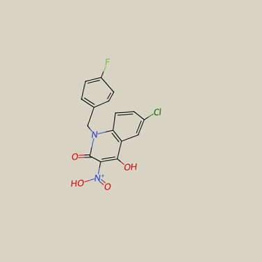 O=c1c([N+](=O)O)c(O)c2cc(Cl)ccc2n1Cc1ccc(F)cc1